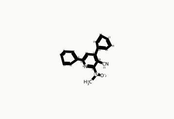 C[S+]([O-])c1nc(-c2ccccc2)cc(-c2ccccc2)c1C#N